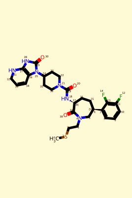 CSCCN1C[C@H](c2cccc(F)c2F)CC[C@@H](NC(=O)N2CCC(n3c4c([nH]c3=O)NCC=C4)CC2)C1=O